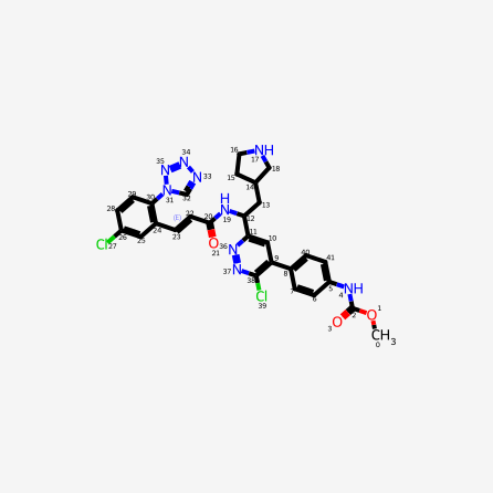 COC(=O)Nc1ccc(-c2cc(C(CC3CCNC3)NC(=O)/C=C/c3cc(Cl)ccc3-n3cnnn3)nnc2Cl)cc1